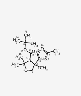 Cc1nc(C2(C)COC(C)(C)N2C(=O)OC(C)(C)C)no1